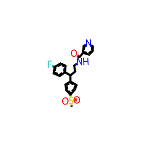 CS(=O)(=O)c1ccc(C(CCNC(=O)c2cccnc2)c2ccc(F)cc2)cc1